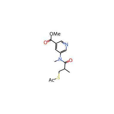 COC(=O)c1cncc(N(C)C(=O)C(C)CSC(C)=O)c1